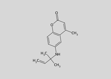 C=CC(C)(C)Nc1ccc2oc(=O)cc(C)c2c1